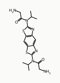 CC(C)N(C(=O)CN)c1nc2cc3nc(N(C(=O)CN)C(C)C)sc3cc2s1